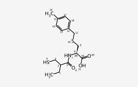 CCC(CS)C(=O)N[C@@H](CSCc1ccc(C)cc1)C(=O)O